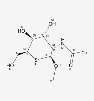 CO[C@H]1S[C@@H](CO)[C@@H](O)[C@H](O)[C@@H]1NC(C)=O